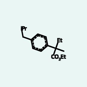 CCOC(=O)C(C)(CC)c1ccc(CC(C)C)cc1